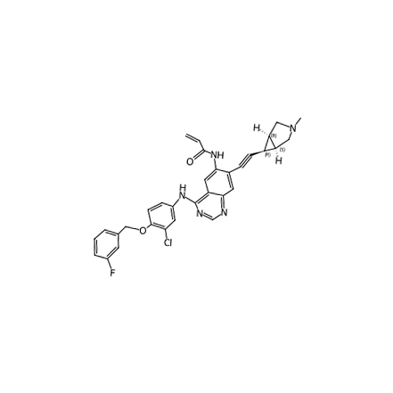 C=CC(=O)Nc1cc2c(Nc3ccc(OCc4cccc(F)c4)c(Cl)c3)ncnc2cc1C#C[C@H]1[C@H]2CN(C)C[C@@H]12